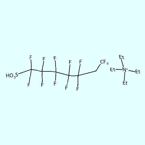 CC[N+](CC)(CC)CC.O=S(=O)(O)C(F)(F)C(F)(F)C(F)(F)C(F)(F)C(F)(F)CC(F)(F)F